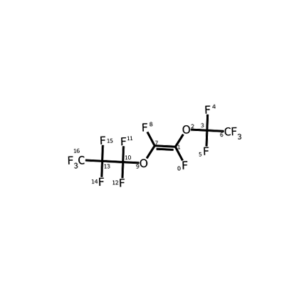 FC(OC(F)(F)C(F)(F)F)=C(F)OC(F)(F)C(F)(F)C(F)(F)F